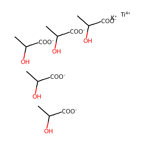 CC(O)C(=O)[O-].CC(O)C(=O)[O-].CC(O)C(=O)[O-].CC(O)C(=O)[O-].CC(O)C(=O)[O-].[K+].[Ti+4]